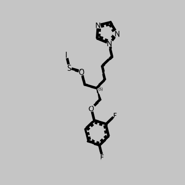 Fc1ccc(OC[C@H](CCCn2cncn2)COSI)c(F)c1